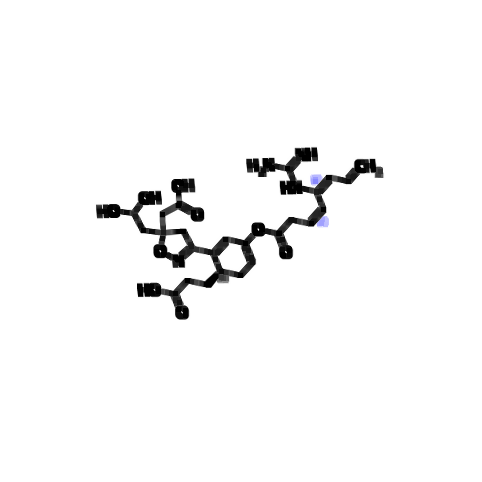 C=C/C=C(\C=C/CC(=O)OC1=CC[C@@H](CCC(=O)O)C(C2=NOC(CC(=O)O)(CC(O)O)C2)=C1)NC(=N)N